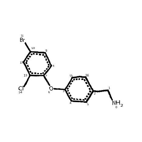 NCc1ccc(Oc2ccc(Br)cc2Cl)cc1